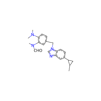 CC1CC1c1ccc2c(c1)ncn2Cc1ccc(N(C)C)c(N(C)C=O)c1